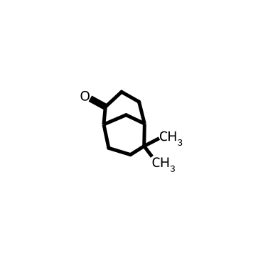 CC1(C)CCC2CC1CCC2=O